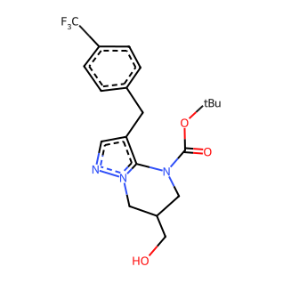 CC(C)(C)OC(=O)N1CC(CO)Cn2ncc(Cc3ccc(C(F)(F)F)cc3)c21